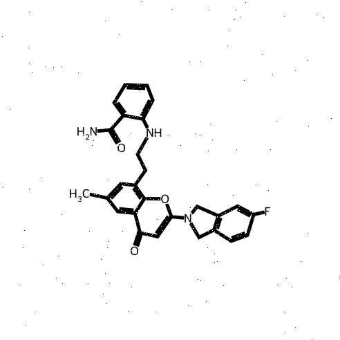 Cc1cc(CCNc2ccccc2C(N)=O)c2oc(N3Cc4ccc(F)cc4C3)cc(=O)c2c1